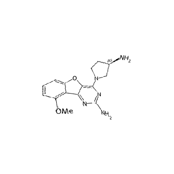 COc1cccc2oc3c(N4CC[C@@H](N)C4)nc(N)nc3c12